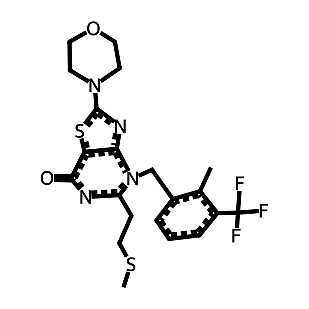 CSCCc1nc(=O)c2sc(N3CCOCC3)nc2n1Cc1cccc(C(F)(F)F)c1C